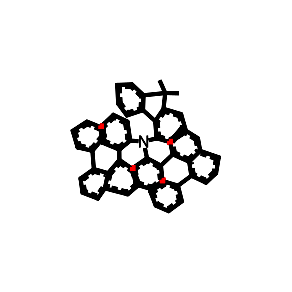 CC1(C)c2ccccc2-c2c(N(c3ccccc3-c3cccc4cccc(-c5ccccc5)c34)c3ccccc3-c3cccc4cccc(-c5ccccc5)c34)cccc21